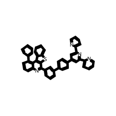 c1ccc(-c2cccc3nc(-c4cccc(-c5ccc(-c6cc(-c7ccccn7)nc(-c7ccccn7)c6)cc5)c4)c4sc5ccccc5c4c23)cc1